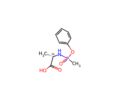 C[C@H](NP(C)(=O)Oc1ccccc1)C(=O)O